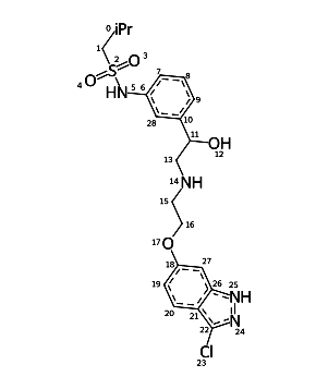 CC(C)CS(=O)(=O)Nc1cccc(C(O)CNCCOc2ccc3c(Cl)n[nH]c3c2)c1